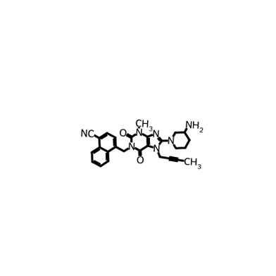 CC#CCn1c(N2CCCC(N)C2)nc2c1c(=O)n(Cc1ccc(C#N)c3ccccc13)c(=O)n2C